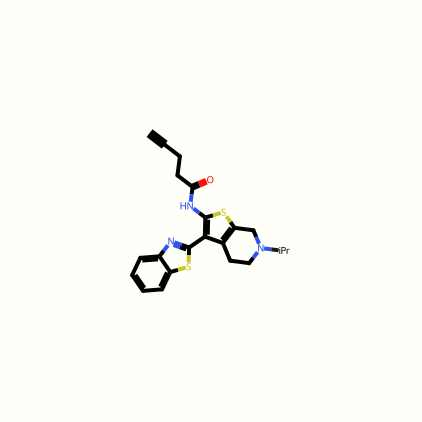 C#CCCC(=O)Nc1sc2c(c1-c1nc3ccccc3s1)CCN(C(C)C)C2